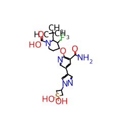 CC(C)(C)C1C(F)C(Oc2ncc(-c3cnn(C4CS(O)(O)C4)c3)cc2C(N)=O)CCN1C(=O)O